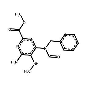 CNc1c(N)nc(C(=O)OC)nc1N(C=O)Cc1ccccc1